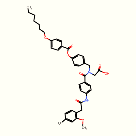 CCCCCCCOc1ccc(C(=O)Oc2ccc(CN(CC(=O)O)C(=O)c3ccc(NC(=O)Cc4ccc(C)cc4OC)cc3)cc2)cc1